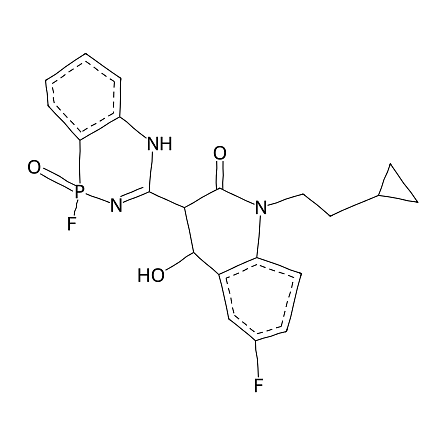 O=C1C(C2=NP(=O)(F)c3ccccc3N2)C(O)c2cc(F)ccc2N1CCC1CC1